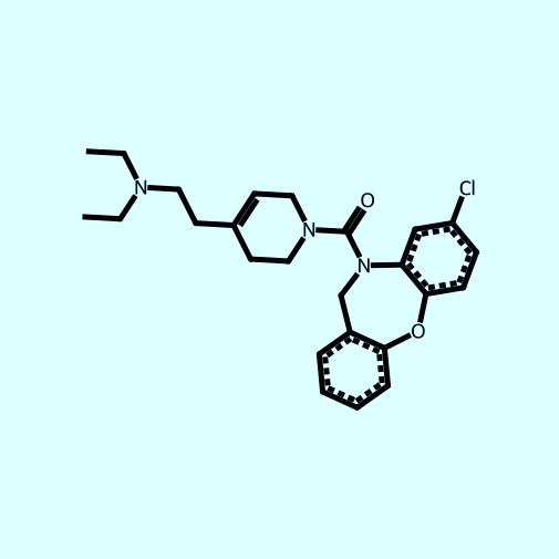 CCN(CC)CCC1=CCN(C(=O)N2Cc3ccccc3Oc3ccc(Cl)cc32)CC1